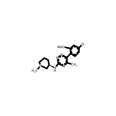 COc1cc(Cl)ccc1-c1nnc(N[C@@H]2CCCN(C)C2)nc1C